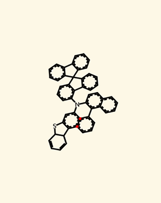 C1=CC2Sc3cc(N(c4cccc5c4-c4ccccc4C54c5ccccc5-c5ccccc54)c4ccc5ccccc5c4-c4ccccc4)ccc3C2C=C1